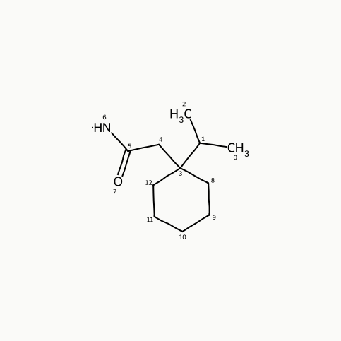 CC(C)C1(CC([NH])=O)CCCCC1